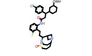 COC1CCCC(C(CC(=O)Nc2cccc(F)c2CCC2C3CN(C3)C3CCC[S+]([O-])N2CC3)c2ccc(Cl)cc2)C1